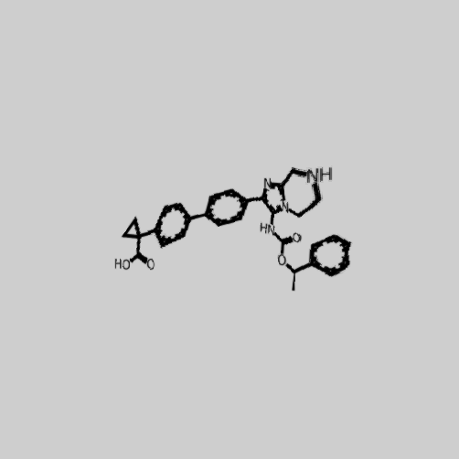 C[C@@H](OC(=O)Nc1c(-c2ccc(-c3ccc(C4(C(=O)O)CC4)cc3)cc2)nc2n1CCNC2)c1ccccc1